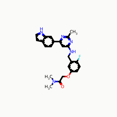 Cc1nc(NCc2cc(OCC(=O)N(C)C)ccc2F)cc(-c2ccc3cc[nH]c3c2)n1